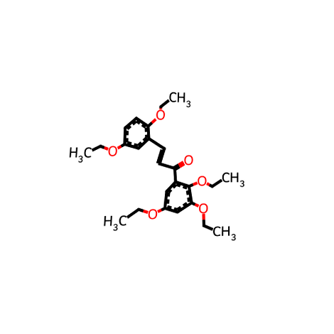 CCOc1ccc(OCC)c(/C=C/C(=O)c2cc(OCC)cc(OCC)c2OCC)c1